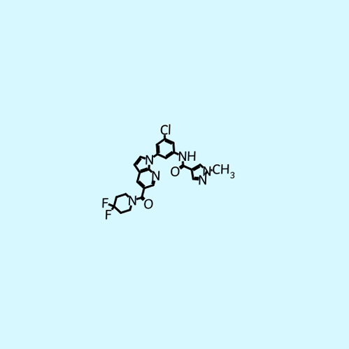 Cn1cc(C(=O)Nc2cc(Cl)cc(-n3ccc4cc(C(=O)N5CCC(F)(F)CC5)cnc43)c2)cn1